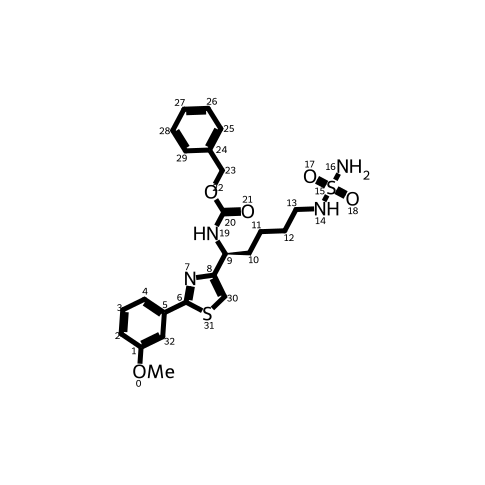 COc1cccc(-c2nc([C@H](CCCCNS(N)(=O)=O)NC(=O)OCc3ccccc3)cs2)c1